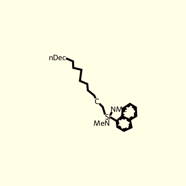 CCCCCCCCCCCCCCCCCCCC[Si](NC)(NC)c1cccc2ccccc12